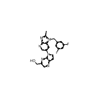 Cc1nc2ncc(-n3ccc4ncc(CO)nc43)cc2n1Cc1cc(F)cc(F)c1